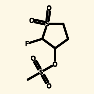 CS(=O)(=O)OC1CCS(=O)(=O)C1F